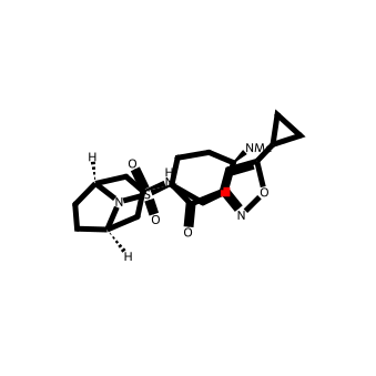 CN[C@H]1CC[C@@H](S(=O)(=O)N2[C@@H]3CC[C@H]2C[C@@H](NC(=O)c2cc(C4CC4)on2)C3)CC1